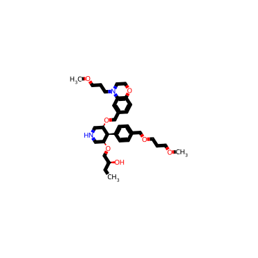 CC[C@H](O)CO[C@@H]1CNC[C@H](OCc2ccc3c(c2)N(CCCOC)CCO3)[C@H]1c1ccc(COCCCOC)cc1